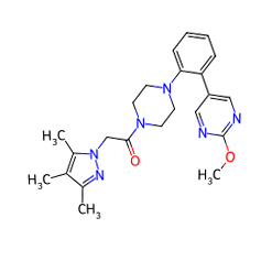 COc1ncc(-c2ccccc2N2CCN(C(=O)Cn3nc(C)c(C)c3C)CC2)cn1